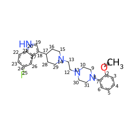 COc1ccccc1N1CCN(CCN2CCC(c3c[nH]c4ccc(F)cc34)CC2)CC1